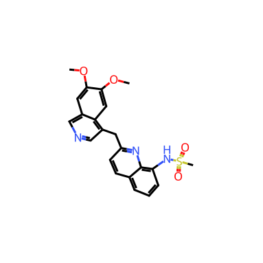 COc1cc2cncc(Cc3ccc4cccc(NS(C)(=O)=O)c4n3)c2cc1OC